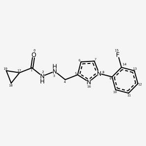 O=C(NNCc1ccn(-c2ccccc2F)n1)C1CC1